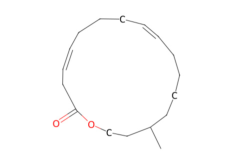 CC1CCCCC=CCCCC=CCC(=O)OCC1